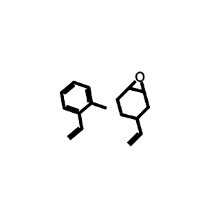 C=CC1CCC2OC2C1.C=Cc1ccccc1C